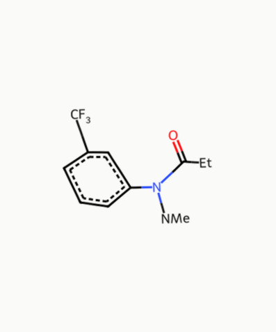 CCC(=O)N(NC)c1cccc(C(F)(F)F)c1